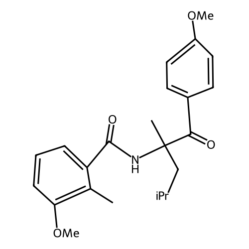 COc1ccc(C(=O)C(C)(CC(C)C)NC(=O)c2cccc(OC)c2C)cc1